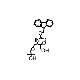 CC(C)(O)COCC(NC(=O)OCC1c2ccccc2-c2ccccc21)C(=O)CO